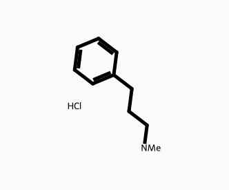 CNCCCc1ccccc1.Cl